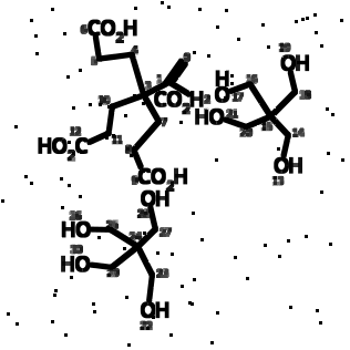 C=C(C(=O)O)C(CCC(=O)O)(CCC(=O)O)CCC(=O)O.OCC(CO)(CO)CO.OCC(CO)(CO)CO